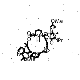 CCn1c(-c2cccnc2[C@H](C)OC)c2c3nc(ccc31)-c1csc(n1)C[C@H](NC(=O)[C@H](C(C)C)N(C)C(=O)N1CC(OC)C1)C(=O)N1CCC[C@@](O)(N1)C(=O)OCC(C)(C)C2